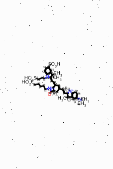 CCCC[N+]1=C(/C=C/C2=CC(=C/C=C3/N(CCCS(=O)(=O)O)c4ccc(S(=O)(=O)O)cc4C3(C)C)/CC(C(C)=O)(C(=O)NCCCCCC(=O)O)C2)C(C)(C)c2cc(N(C)C)ccc21